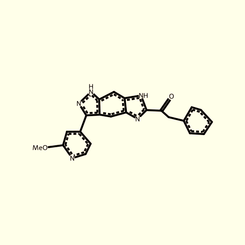 COc1cc(-c2n[nH]c3cc4[nH]c(C(=O)Cc5ccccc5)nc4cc23)ccn1